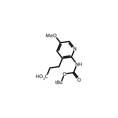 COc1cnc(NC(=O)OC(C)(C)C)c(CCC(=O)O)c1